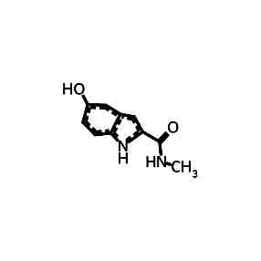 CNC(=O)c1cc2cc(O)ccc2[nH]1